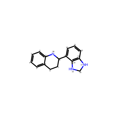 c1ccc2c(c1)CCC(c1cccc3c1NCN3)[N]2